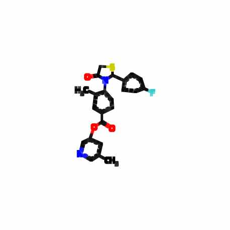 Cc1cncc(OC(=O)c2ccc(N3C(=O)CSC3c3ccc(F)cc3)c(C)c2)c1